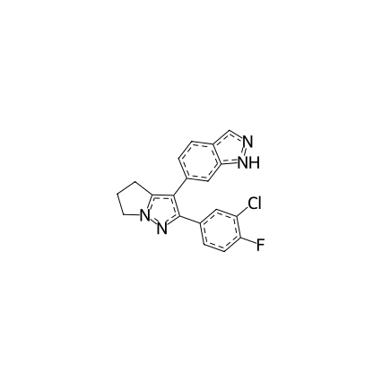 Fc1ccc(-c2nn3c(c2-c2ccc4cn[nH]c4c2)CCC3)cc1Cl